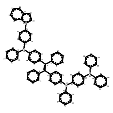 c1ccc(/C(=C(/c2ccccc2)c2ccc(N(c3ccccc3)c3ccc(-n4ccc5ccccc54)cc3)cc2)c2ccc(N(c3ccccc3)c3ccc(N(c4ccccc4)c4ccccc4)cc3)cc2)cc1